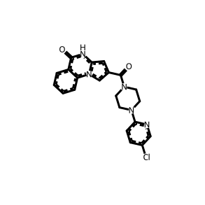 O=C(c1cc2[nH]c(=O)c3ccccc3n2c1)N1CCN(c2ccc(Cl)cn2)CC1